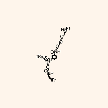 CCNCCCOCCOCCOCCNC(=O)c1cccc(OCC(C)(OCCOCC(=O)NCC#CC(C)C)SSC(C)(C)C)c1